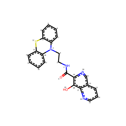 O=C(NCCN1c2ccccc2Sc2ccccc21)c1ncc2cccnc2c1O